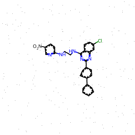 O=[N+]([O-])c1ccc(NCCNc2nc(-c3ccc(-c4ccccc4)cc3)nc3cc(Cl)ccc23)nc1